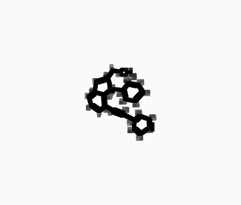 CCc1cc2cccc(C#Cc3ccncc3)c2n1-c1ccccc1